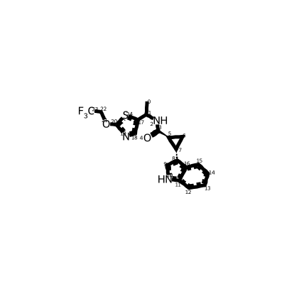 CC(NC(=O)[C@H]1C[C@@H]1c1c[nH]c2ccccc12)c1cnc(OCC(F)(F)F)s1